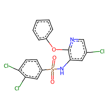 O=S(=O)(Nc1cc(Cl)cnc1Oc1ccccc1)c1ccc(Cl)c(Cl)c1